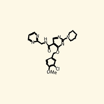 COc1ccc(COc2nc(N3C[CH]CCC3)ncc2C(=O)NCc2ncccn2)cc1Cl